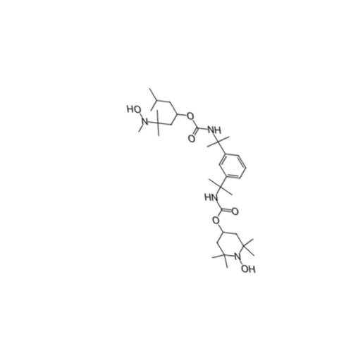 CC(C)CC(CC(C)(C)N(C)O)OC(=O)NC(C)(C)c1cccc(C(C)(C)NC(=O)OC2CC(C)(C)N(O)C(C)(C)C2)c1